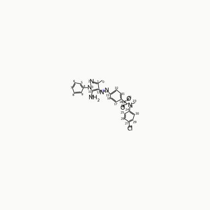 Cc1nn(-c2ccccc2)c(N)c1/N=N/c1ccc(S(=O)(=O)N(C)c2ccc(Cl)cc2)cc1